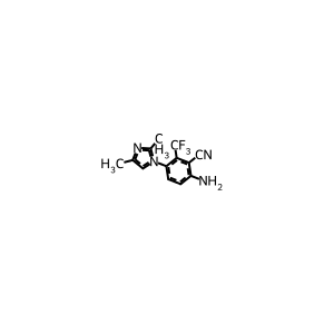 Cc1cn(-c2ccc(N)c(C#N)c2C(F)(F)F)c(C)n1